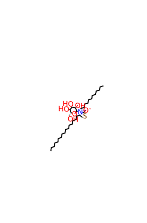 CCCCCCCCCCCCCCCCC(C)[N+](CCCCCCCCCCCC)(C([O-])=S)C1O[C@H](CO)[C@@H](O)[C@H](O)[C@H]1O